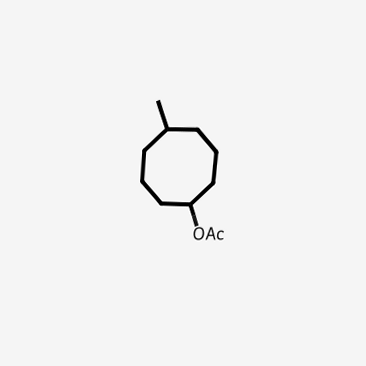 CC(=O)OC1CCCC(C)CCC1